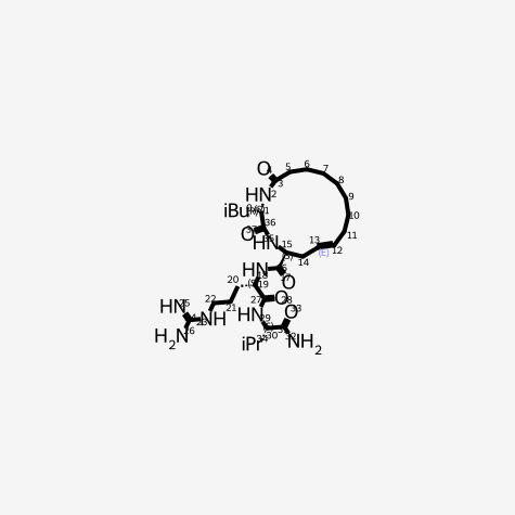 CC[C@@H](C)[C@@H]1NC(=O)CCCCCCC/C=C/C[C@@H](C(=O)N[C@@H](CCCNC(=N)N)C(=O)N[C@H](C(N)=O)C(C)C)NC1=O